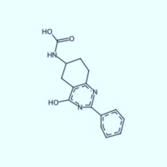 O=C(O)NC1CCc2nc(-c3ccccc3)nc(O)c2C1